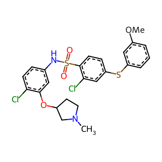 COc1cccc(Sc2ccc(S(=O)(=O)Nc3ccc(Cl)c(OC4CCN(C)C4)c3)c(Cl)c2)c1